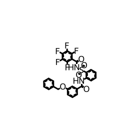 O=C(Nc1ccccc1S(=O)(=O)NC(=O)c1c(F)c(F)c(F)c(F)c1F)c1cccc(OCc2ccccc2)c1